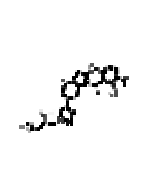 C[C@H](c1c(Cl)ccc(F)c1Cl)n1ccc2ncc(-c3cnn(C[C@H](O)CO)c3)cc21